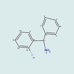 NC(c1c[c]ccc1)c1ccccc1F